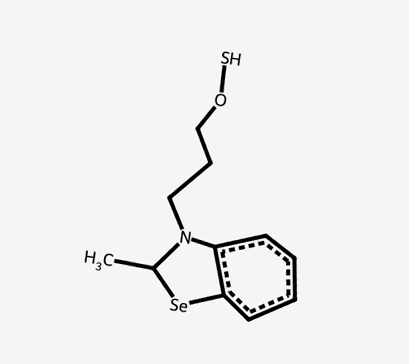 CC1[Se]c2ccccc2N1CCCOS